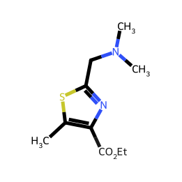 CCOC(=O)c1nc(CN(C)C)sc1C